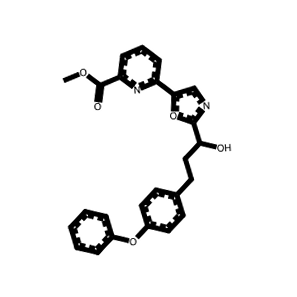 COC(=O)c1cccc(-c2cnc(C(O)CCc3ccc(Oc4ccccc4)cc3)o2)n1